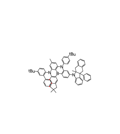 Cc1cc2c3c(c1)N(c1ccc(C(C)(C)C)cc1-c1ccccc1)c1cc4c(cc1B3c1ccc(N3c5ccccc5C5(c6ccccc6)Cc6ccccc6CC35C)cc1N2c1ccc(C(C)(C)C)cc1)CC(C)(C)C4